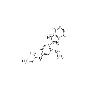 CCC(S)Oc1ccc(-c2nc3cnccc3[nH]2)c(OC)c1